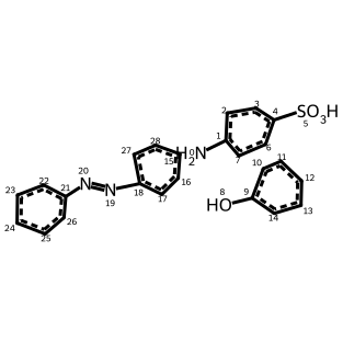 Nc1ccc(S(=O)(=O)O)cc1.Oc1ccccc1.c1ccc(N=Nc2ccccc2)cc1